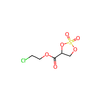 O=C(OCCCl)C1COS(=O)(=O)O1